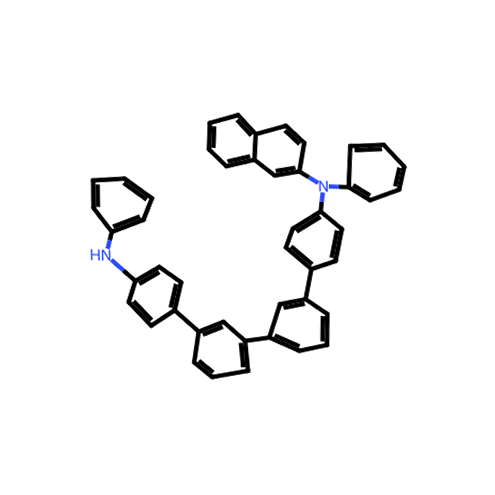 c1ccc(Nc2ccc(-c3cccc(-c4cccc(-c5ccc(N(c6ccccc6)c6ccc7ccccc7c6)cc5)c4)c3)cc2)cc1